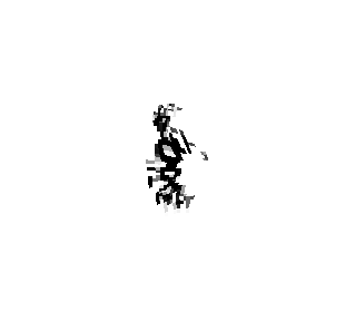 CCCc1ncc(-c2ccc(C3=CC(C)C(C4CCC(CCC)OC4)C=C3)c(F)c2F)cn1